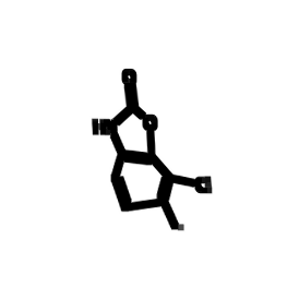 [CH2]c1ccc2[nH]c(=O)oc2c1Cl